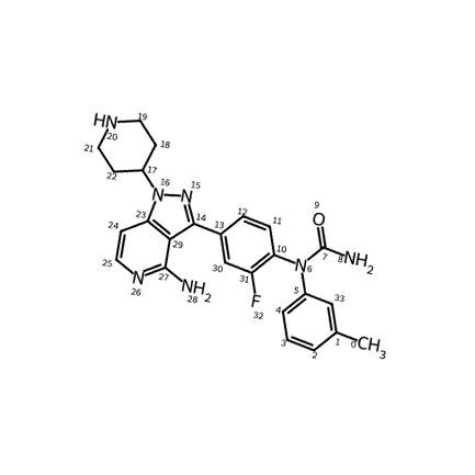 Cc1cccc(N(C(N)=O)c2ccc(-c3nn(C4CCNCC4)c4ccnc(N)c34)cc2F)c1